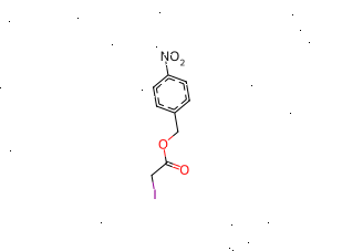 O=C(CI)OCc1ccc([N+](=O)[O-])cc1